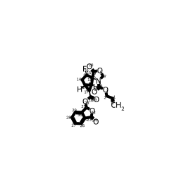 C=CCOC(=O)N1COC(=O)[C@]12[C@H]1[C@@H](C[C@@H]2F)[C@@H]1C(=O)OC1OC(=O)c2ccccc21